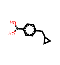 OB(O)c1ccc(CC2CC2)cc1